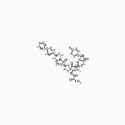 CC(=O)N/N=C(\C)C1(C(=O)Nc2ccc3[nH]nc(-c4ccc(F)cc4)c3c2)CCN(CC(=O)N2CCN(c3ccc(-c4ncccn4)cn3)C[C@H]2C)C1